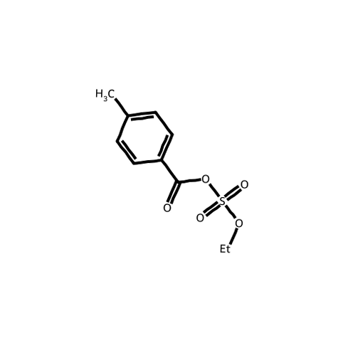 CCOS(=O)(=O)OC(=O)c1ccc(C)cc1